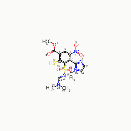 COC(=O)c1cc([N+](=O)[O-])c(-c2nccn2C)c(S(=O)(=O)/N=C/N(C)C)c1S